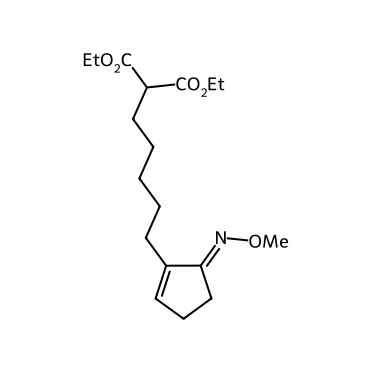 CCOC(=O)C(CCCCCC1=CCCC1=NOC)C(=O)OCC